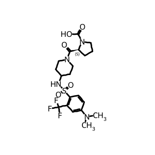 CN(C)c1ccc(S(=O)(=O)NC2CCN(C(=O)[C@@H]3CCCN3C(=O)O)CC2)c(C(F)(F)F)c1